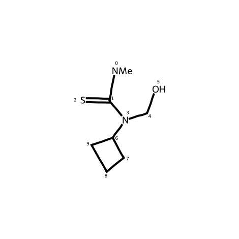 CNC(=S)N(CO)C1CCC1